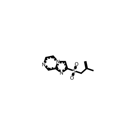 C=C(C)CS(=O)(=O)c1cn2ccncc2n1